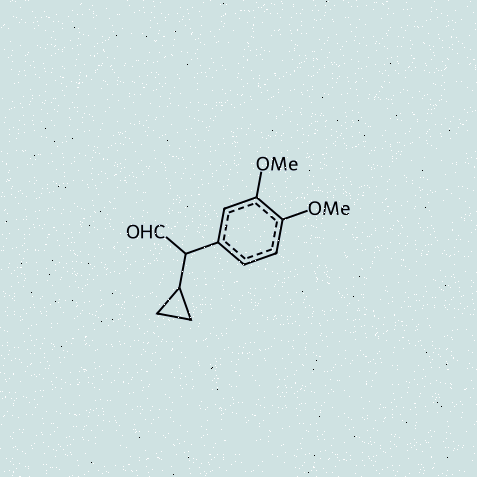 COc1ccc(C(C=O)C2CC2)cc1OC